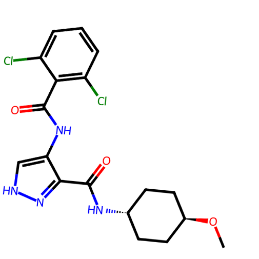 CO[C@H]1CC[C@H](NC(=O)c2n[nH]cc2NC(=O)c2c(Cl)cccc2Cl)CC1